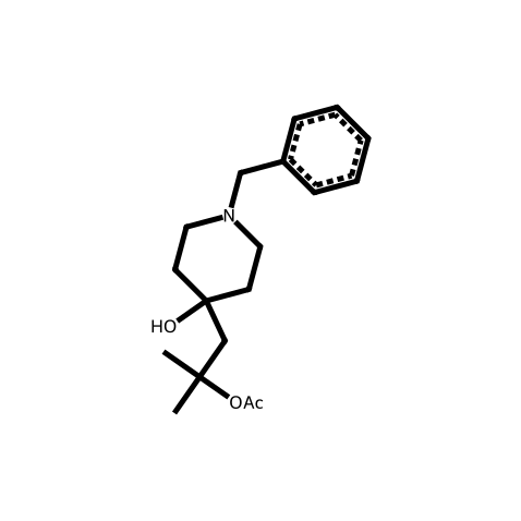 CC(=O)OC(C)(C)CC1(O)CCN(Cc2ccccc2)CC1